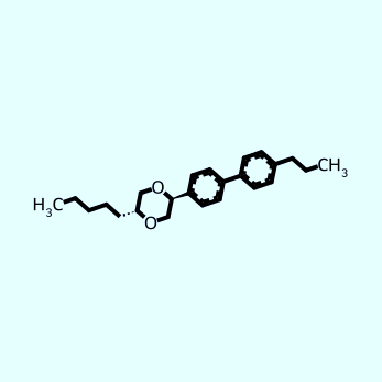 CCCCC[C@@H]1CO[C@@H](c2ccc(-c3ccc(CCC)cc3)cc2)CO1